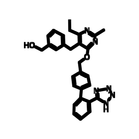 CCc1nc(C)nc(OCc2ccc(-c3ccccc3-c3nnn[nH]3)cc2)c1Cc1cccc(CO)c1